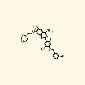 Nc1cc2c(N)nc(-c3cc(Cl)c(OCc4cccc(F)c4)cc3F)nc2cc1OCCN1CCOCC1